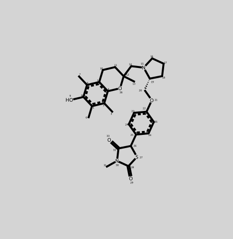 Cc1c(C)c2c(c(C)c1O)CCC(C)(CN1CCC[C@@H]1COc1ccc(C3SC(=O)N(C)C3=O)cc1)O2